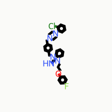 N=c1n(CCCOc2ccc(F)cc2)c2ccccc2n1Cc1ccc(CN2CCN(c3ccccc3Cl)CC2)cc1